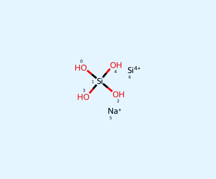 O[Si](O)(O)O.[Na+].[Si+4]